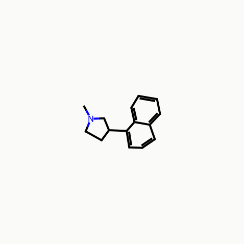 CN1CCC(c2cccc3ccccc23)C1